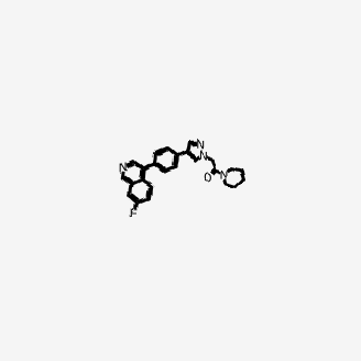 O=C(Cn1cc(-c2ccc(-c3cncc4cc(F)ccc34)cc2)cn1)N1CCCCC1